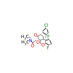 CCN(C)C(=O)CO[C@@]12COc3c(F)ccc(F)c3[C@]1(Cc1ccc(Cl)cc1)CCC(=O)C2